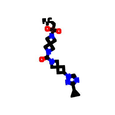 O=C(N1CC2(CC(n3cnc(C4CC4)n3)C2)C1)N1CC2(C1)CN(S(=O)(=O)CC(F)(F)F)C2